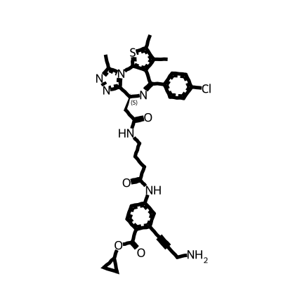 Cc1sc2c(c1C)C(c1ccc(Cl)cc1)=N[C@@H](CC(=O)NCCCC(=O)Nc1ccc(C(=O)OC3CC3)c(C#CCN)c1)c1nnc(C)n1-2